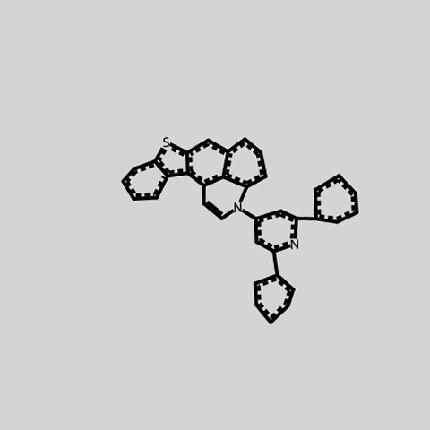 C1=CN(c2cc(-c3ccccc3)nc(-c3ccccc3)c2)c2cccc3cc4sc5ccccc5c4c1c23